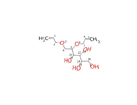 C=CCOCC(OCC=C)C(O)C(O)C(O)CO